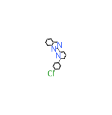 Clc1ccc(-c2cccc(-c3ncc4ccccc4n3)n2)cc1